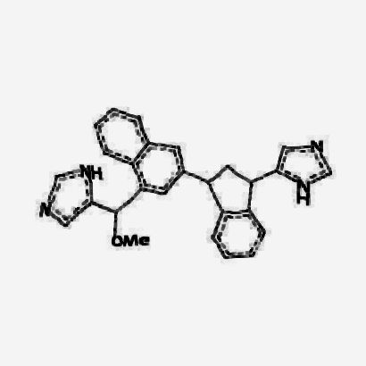 COC(c1cnc[nH]1)c1cc(C2CC(c3cnc[nH]3)c3ccccc32)cc2ccccc12